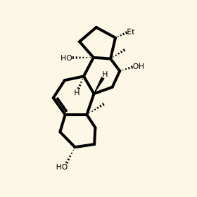 CC[C@H]1CC[C@]2(O)[C@@H]3CC=C4C[C@@H](O)CC[C@]4(C)[C@H]3C[C@@H](O)[C@]12C